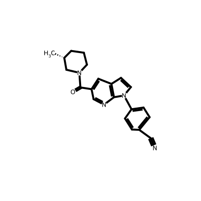 C[C@@H]1CCCN(C(=O)c2cnc3c(ccn3-c3ccc(C#N)cc3)c2)C1